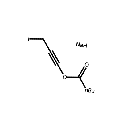 CCCCC(=O)OC#CCI.[NaH]